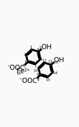 O=C([O-])c1ccc(O)cc1.O=C([O-])c1ccc(O)cc1.[Fe+2]